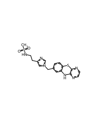 CS(=O)(=O)NCCc1cn(Cc2ccc3c(c2)Nc2nccnc2S3)cn1